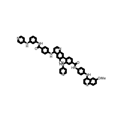 COc1ccc2nccc(Nc3ccc(NC(=O)c4ccc(-c5cc6nccc(Nc7ccc(C(=O)Nc8cccc(Nc9ccncc9)c8)cc7)c6cc5C#N)c(Nc5ccncc5)c4)cc3)c2c1